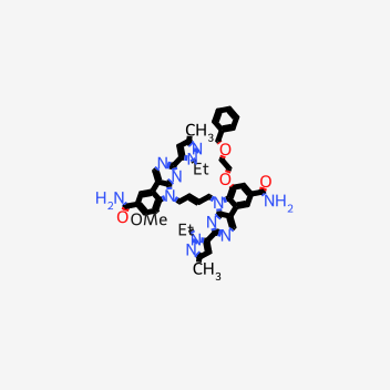 CCn1nc(C)cc1-c1ncc2c3cc(C(N)=O)cc(OC)c3n(C/C=C/Cn3c4nc(-c5cc(C)nn5CC)ncc4c4cc(C(N)=O)cc(OCCOCc5ccccc5)c43)c2n1